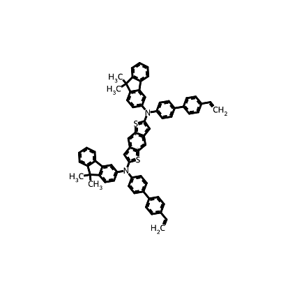 C=Cc1ccc(-c2ccc(N(c3ccc4c(c3)-c3ccccc3C4(C)C)c3cc4cc5sc(N(c6ccc(-c7ccc(C=C)cc7)cc6)c6ccc7c(c6)-c6ccccc6C7(C)C)cc5cc4s3)cc2)cc1